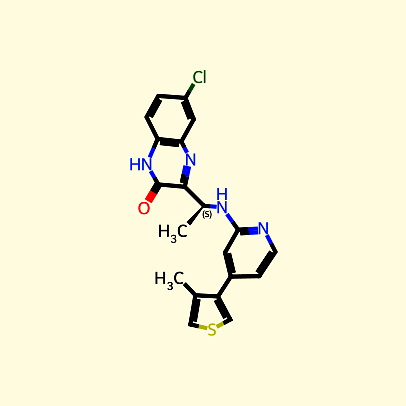 Cc1cscc1-c1ccnc(N[C@@H](C)c2nc3cc(Cl)ccc3[nH]c2=O)c1